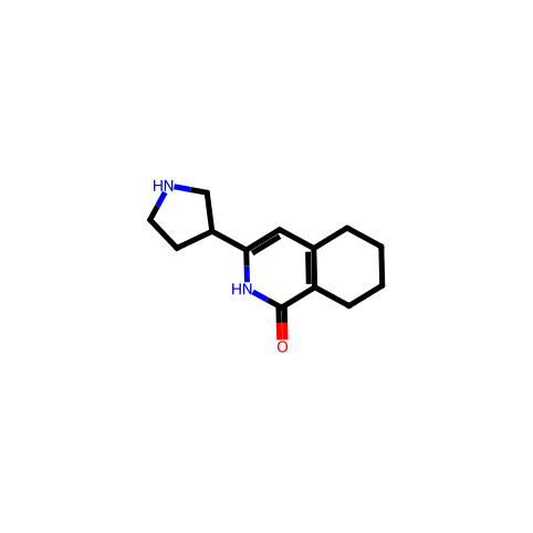 O=c1[nH]c(C2CCNC2)cc2c1CCCC2